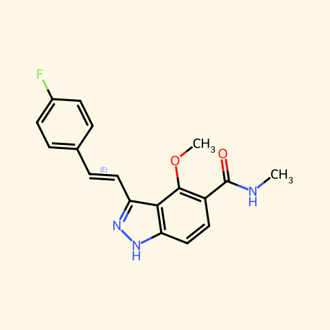 CNC(=O)c1ccc2[nH]nc(/C=C/c3ccc(F)cc3)c2c1OC